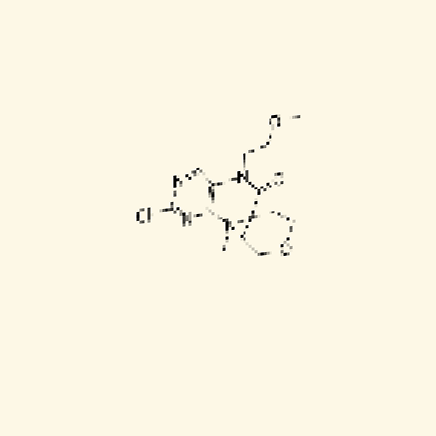 COCCN1C(=O)C2(CCOCC2)N(C)c2nc(Cl)ncc21